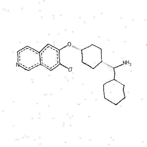 NC(C1CCCCC1)[C@H]1CC[C@@H](Oc2cc3ccncc3cc2Cl)CC1